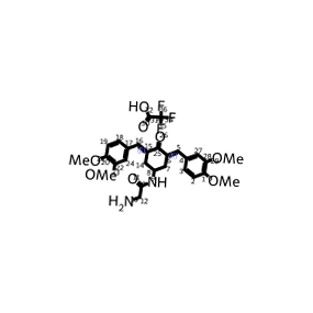 COc1ccc(/C=C2\CC(NC(=O)CN)C/C(=C\c3ccc(OC)c(OC)c3)C2=O)cc1OC.O=C(O)C(F)(F)F